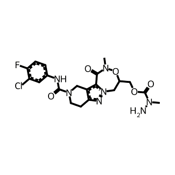 CN(N)C(=O)OCC1Cn2nc3c(c2C(=O)N(C)O1)CN(C(=O)Nc1ccc(F)c(Cl)c1)CC3